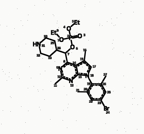 CCOP(=O)(OCC)OC(c1nc(C)nc2c1c(C)cn2-c1c(C)cc(Br)cc1C)C1CCNCC1